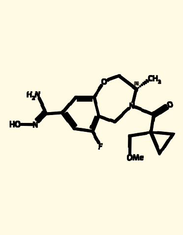 COCC1(C(=O)N2Cc3c(F)cc(C(N)=NO)cc3OC[C@@H]2C)CC1